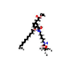 CCCCCCCCCCCCOc1ccc(CCC(=O)OC)cc1C(=O)NCCCCCCNC(=O)OC(C)(C)C